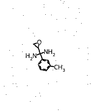 Cc1cccc(C(N)(N)C2CO2)c1